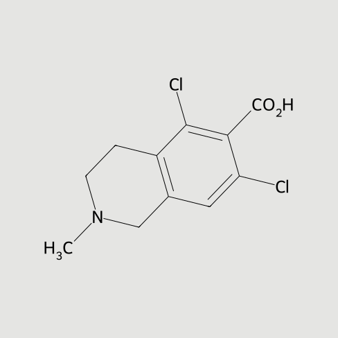 CN1CCc2c(cc(Cl)c(C(=O)O)c2Cl)C1